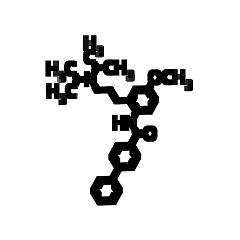 COc1ccc(NC(=O)c2ccc(-c3ccccc3)cc2)c(CCCN(C(C)C)C(C)C)c1